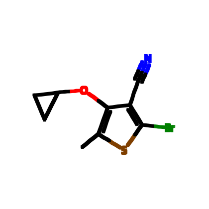 Cc1sc(Br)c(C#N)c1OC1CC1